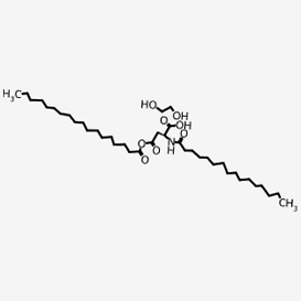 CCCCCCCCCCCCCCCCCC(=O)OC(=O)C[C@H](NC(=O)CCCCCCCCCCCCCCC)C(=O)O.OCCO